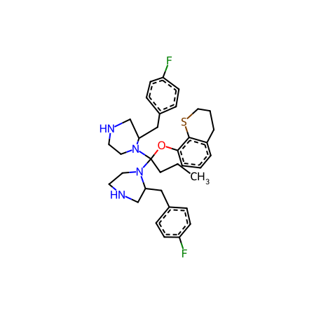 CCCC(Oc1cccc2c1SCCC2)(N1CCNCC1Cc1ccc(F)cc1)N1CCNCC1Cc1ccc(F)cc1